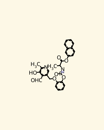 Cc1ncc(COc2ccccc2O/[P+]([O-])=N/C(C)C(=O)Oc2ccc3ccccc3c2)c(C=O)c1O